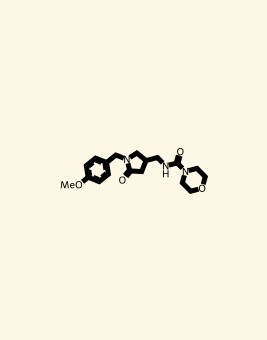 COc1ccc(CN2CC(CNC(=O)N3CCOCC3)CC2=O)cc1